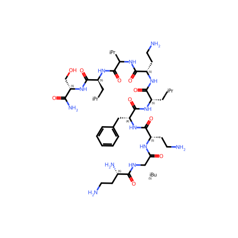 CC[C@H](C)C(NC(=O)[C@@H](N)CCN)C(=O)N[C@@H](CCN)C(=O)N[C@H](Cc1ccccc1)C(=O)N[C@@H](CC(C)C)C(=O)N[C@@H](CCN)C(=O)NC(C(=O)N[C@@H](CC(C)C)C(=O)N[C@@H](CO)C(N)=O)C(C)C